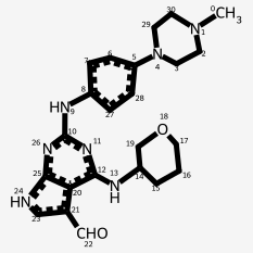 CN1CCN(c2ccc(Nc3nc(NC4CCCOC4)c4c(C=O)c[nH]c4n3)cc2)CC1